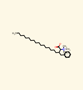 CCCCCCCCCCCCCCCCCC(Cc1ccccc1)C(C(=O)[O-])[N+](C)(C)C